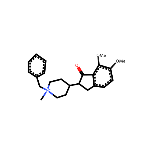 COc1ccc2c(c1OC)C(=O)C(C1CC[N+](C)(Cc3ccccc3)CC1)C2